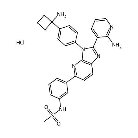 CS(=O)(=O)Nc1cccc(-c2ccc3nc(-c4cccnc4N)n(-c4ccc(C5(N)CCC5)cc4)c3n2)c1.Cl